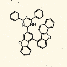 c1ccc(C2=NC(c3cc(-c4cccc5oc6c7ccccc7ccc6c45)c4c(c3)oc3ccccc34)NC(c3ccccc3)=N2)cc1